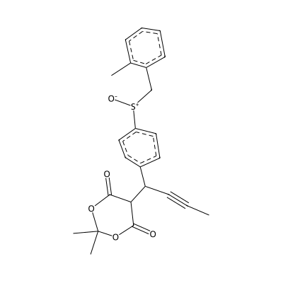 CC#CC(c1ccc([S+]([O-])Cc2ccccc2C)cc1)C1C(=O)OC(C)(C)OC1=O